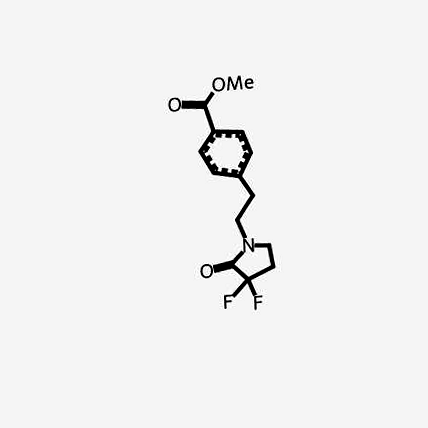 COC(=O)c1ccc(CCN2CCC(F)(F)C2=O)cc1